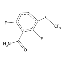 NC(=O)c1c(F)ccc([CH]C(F)(F)F)c1F